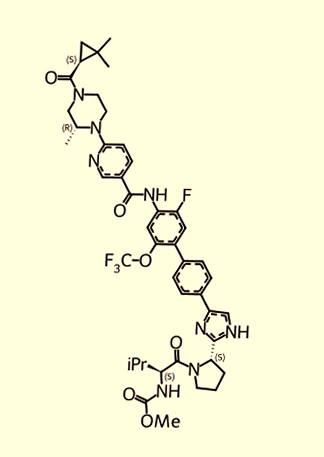 COC(=O)N[C@H](C(=O)N1CCC[C@H]1c1nc(-c2ccc(-c3cc(F)c(NC(=O)c4ccc(N5CCN(C(=O)[C@H]6CC6(C)C)C[C@H]5C)nc4)cc3OC(F)(F)F)cc2)c[nH]1)C(C)C